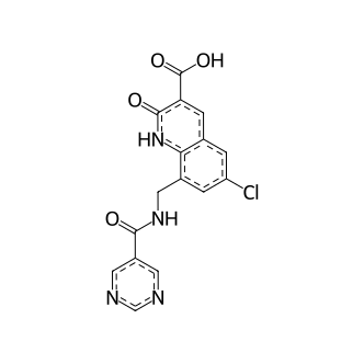 O=C(NCc1cc(Cl)cc2cc(C(=O)O)c(=O)[nH]c12)c1cncnc1